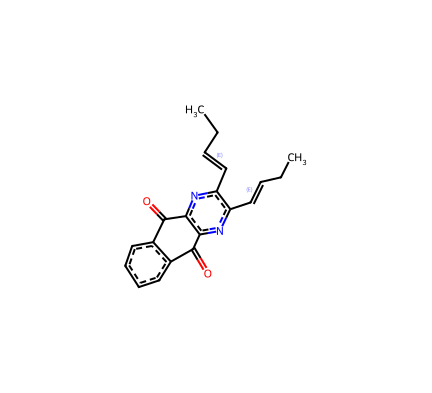 CC/C=C/c1nc2c(nc1/C=C/CC)C(=O)c1ccccc1C2=O